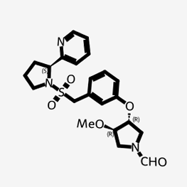 CO[C@@H]1CN(C=O)C[C@H]1Oc1cccc(CS(=O)(=O)N2CCC[C@H]2c2ccccn2)c1